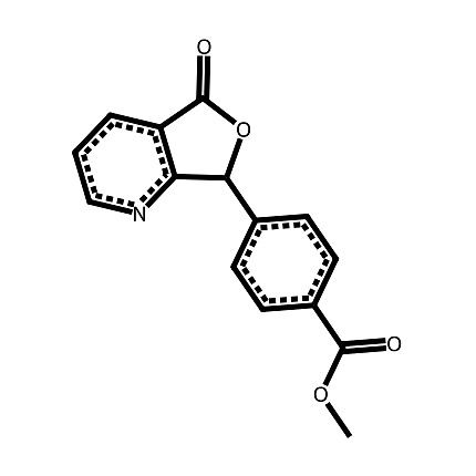 COC(=O)c1ccc(C2OC(=O)c3cccnc32)cc1